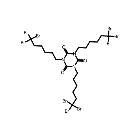 O=c1n(CCCCCC(Br)(Br)Br)c(=O)n(CCCCCC(Br)(Br)Br)c(=O)n1CCCCCC(Br)(Br)Br